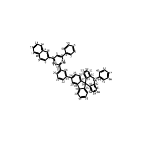 c1ccc(-c2cc(-c3ccc4ccccc4c3)nc(-c3cccc(-c4ccc5c(c4)-c4ccccc4C54c5ccccc5N(c5ccccc5)c5ccccc54)c3)n2)cc1